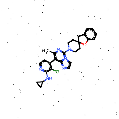 Cc1nc(N2CCC3(CC2)Cc2ccccc2O3)n2ccnc2c1-c1ccnc(NC2CC2)c1Cl